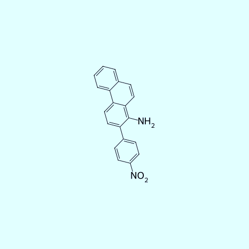 Nc1c(-c2ccc([N+](=O)[O-])cc2)ccc2c1ccc1ccccc12